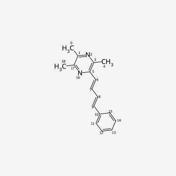 Cc1nc(C)c(C=CC=Cc2ccccc2)nc1C